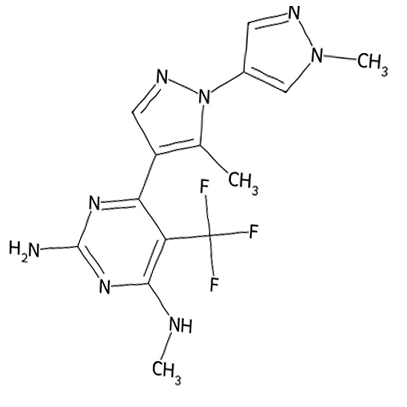 CNc1nc(N)nc(-c2cnn(-c3cnn(C)c3)c2C)c1C(F)(F)F